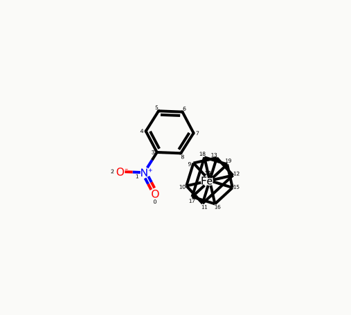 O=[N+]([O-])c1ccccc1.[CH]12[CH]3[CH]4[CH]5[CH]1[Fe]23451678[CH]2[CH]1[CH]6[CH]7[CH]28